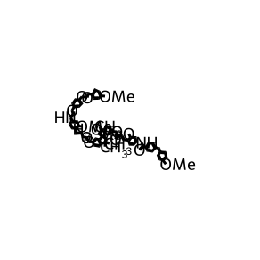 COc1ccc(COOc2ccc(OCNc3ccc(/C=C/COOc4ccc5c(c4)C4(CC5(C)C)CC(C)(C)c5ccc(OC(=O)/C=C/c6ccc(NC(=O)c7ccc(Cc8ccc(OC)cc8)cc7)cc6OC)cc54)c(OC)c3)cc2)cc1